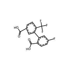 O=C(O)c1[c]cc(C(F)(F)F)c(-c2cc(F)ccc2C(=O)O)c1